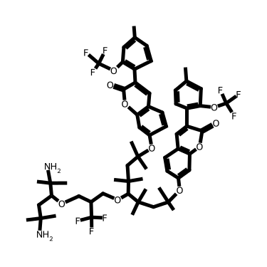 Cc1ccc(-c2cc3ccc(OC(C)(C)CC(C)(C)C(OCC(COC(CC(C)(C)N)C(C)(C)N)C(F)(F)F)C(C)(C)CC(C)(C)Oc4ccc5cc(-c6ccc(C)cc6OC(F)(F)F)c(=O)oc5c4)cc3oc2=O)c(OC(F)(F)F)c1